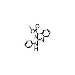 COC(=O)c1nc(Nc2ccccc2)nc2ccccc12